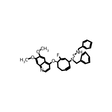 COc1cc2nccc(O[C@@H]3CCC#CC(N(Cc4ccccc4)SNCc4ccccc4)/C=C\3F)c2cc1OC